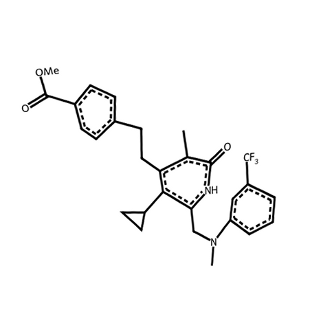 COC(=O)c1ccc(CCc2c(C3CC3)c(CN(C)c3cccc(C(F)(F)F)c3)[nH]c(=O)c2C)cc1